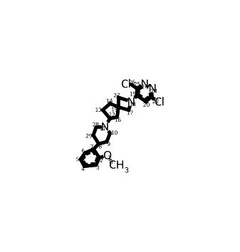 COc1ccccc1C1CCN(C2CCC3(C2)CN(c2cc(Cl)nnc2Cl)C3)CC1